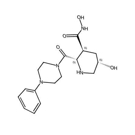 O=C(NO)[C@H]1C[C@H](O)CN[C@@H]1C(=O)N1CCN(c2ccccc2)CC1